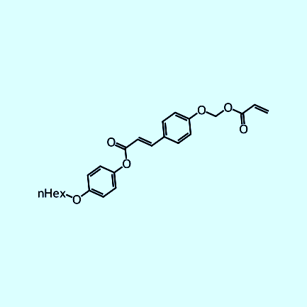 C=CC(=O)OCOc1ccc(C=CC(=O)Oc2ccc(OCCCCCC)cc2)cc1